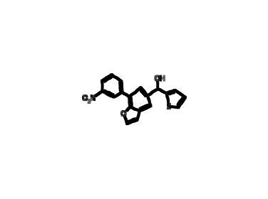 O=[N+]([O-])c1cccc(-c2cc(C(O)c3cccs3)cc3ccoc23)c1